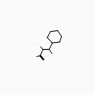 NC(C(=O)O)C(N)C1CCCCC1